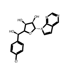 O[C@@H]1[C@H](O)C([C@H](O)c2ccc(Cl)cc2)O[C@H]1n1ccc2cncnc21